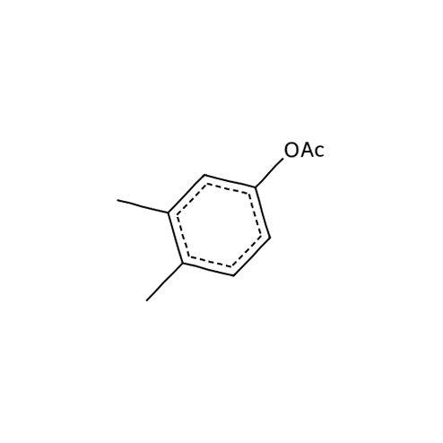 CC(=O)Oc1ccc(C)c(C)c1